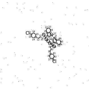 Cn1c(C(=O)c2c(S(=O)(=O)CC=Cc3ccc(Cl)cc3)c3ccccc3n2C)c(S(=O)(=O)CC=Cc2ccc(Cl)cc2)c2ccccc21